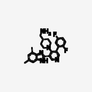 Cc1cc(C)c2nc(-c3cncc(-c4cc(F)ccc4F)c3N3CCC(CN)CC3)[nH]c2c1